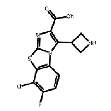 O=C(O)c1nc2sc3c(Cl)c(F)ccc3n2c1C1CNC1